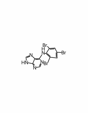 Brc1cc(Br)c(Nc2ncnc3[nH]cnc23)c(Br)c1